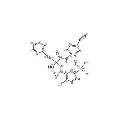 N#Cc1ccc(NC(=O)C(O)(C#Cc2ccccc2)CC2(c3cc(C(F)(F)F)ccc3F)CC2)cc1